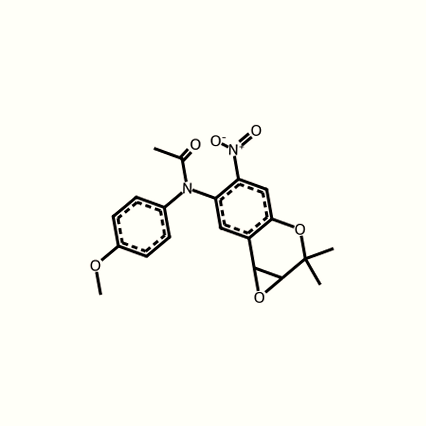 COc1ccc(N(C(C)=O)c2cc3c(cc2[N+](=O)[O-])OC(C)(C)C2OC32)cc1